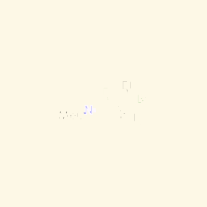 CC[C@@H](Br)[C@@H](C)[C@H](F)C=NOC